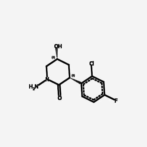 NN1C[C@H](O)C[C@H](c2ccc(F)cc2Cl)C1=O